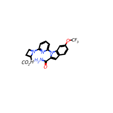 NC(=O)c1cc2ccc(OC(F)(F)F)cc2n1-c1cccc(N2CCC2C(=O)O)n1